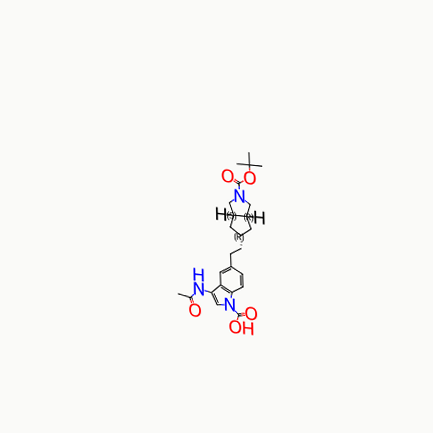 CC(=O)Nc1cn(C(=O)O)c2ccc(CC[C@@H]3C[C@@H]4CN(C(=O)OC(C)(C)C)C[C@@H]4C3)cc12